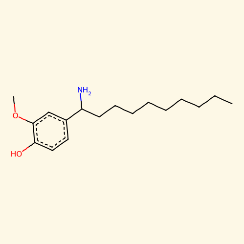 CCCCCCCCCC(N)c1ccc(O)c(OC)c1